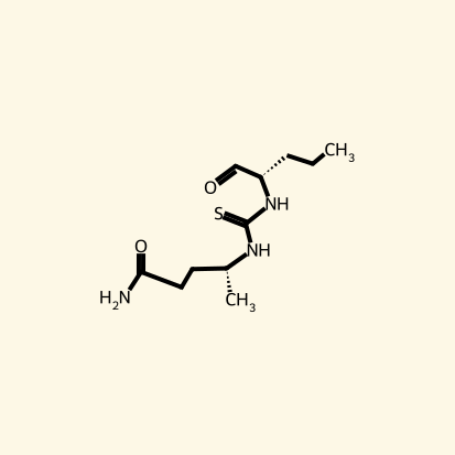 CCC[C@@H](C=O)NC(=S)N[C@H](C)CCC(N)=O